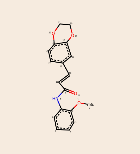 CCCCOc1ccccc1NC(=O)/C=C/c1ccc2c(c1)OCCO2